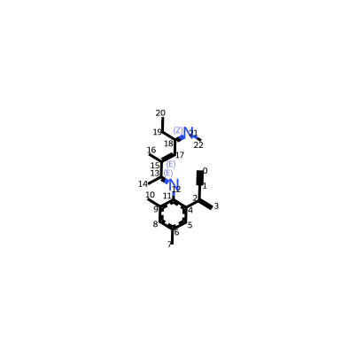 C#CC(=C)c1cc(C)cc(C)c1/N=C(C)/C(C)=C/C(CC)=N\C